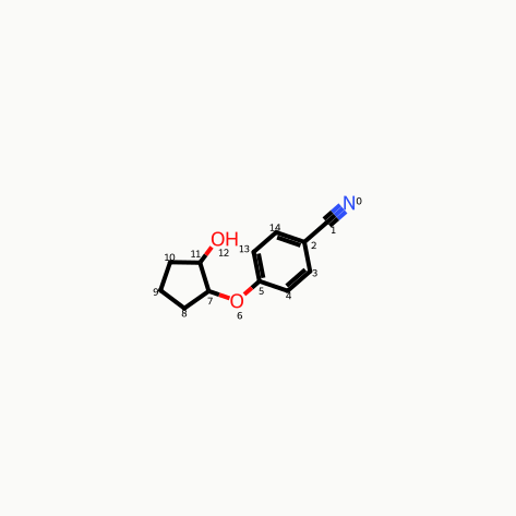 N#Cc1ccc(OC2CCCC2O)cc1